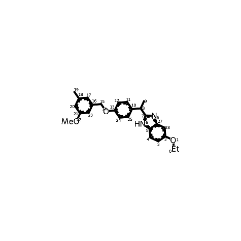 CCOc1ccc2[nH]c(C(C)c3ccc(OCc4cc(C)cc(OC)c4)cc3)nc2c1